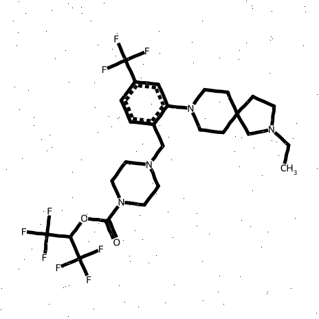 CCN1CCC2(CCN(c3cc(C(F)(F)F)ccc3CN3CCN(C(=O)OC(C(F)(F)F)C(F)(F)F)CC3)CC2)C1